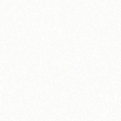 COCCn1c(=O)n(C2CCN(CCC(Oc3cc(OC)ccc3C)C(C)C)CC2)c2ccccc21.CS(=O)(=O)O